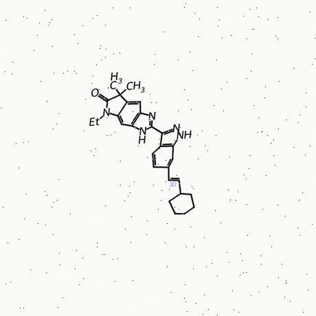 CCN1C(=O)C(C)(C)c2cc3nc(-c4n[nH]c5cc(/C=C/C6CCCCC6)ccc45)[nH]c3cc21